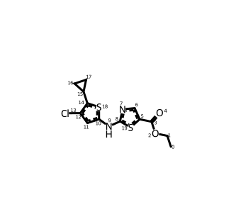 CCOC(=O)c1cnc(Nc2cc(Cl)c(C3CC3)s2)s1